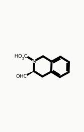 O=C[C@@H]1Cc2ccccc2CN1C(=O)O